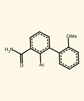 COc1ccccc1-c1cccc(C(N)=O)c1C(C)=O